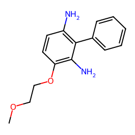 COCCOc1ccc(N)c(-c2ccccc2)c1N